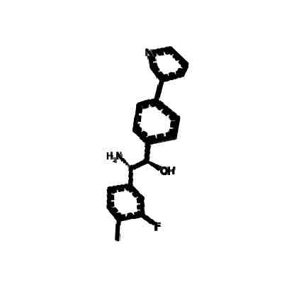 Cc1ccc([C@H](N)[C@H](O)c2ccc(-c3cccnc3)cc2)cc1F